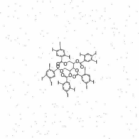 O=C(OCC(OC(=O)c1cc(I)c(I)cc1I)C(OC(=O)c1cc(I)c(I)cc1I)C(COC(=O)c1cc(I)c(I)cc1I)OC(=O)c1cc(I)c(I)cc1I)c1cc(I)c(I)cc1I